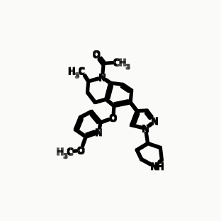 COc1cccc(Oc2c(-c3cnn(C4CCNCC4)c3)ccc3c2CCC(C)N3C(C)=O)n1